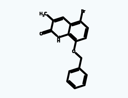 Cc1cc2c(Br)ccc(OCc3ccccc3)c2[nH]c1=O